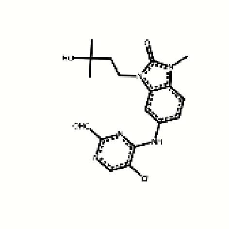 Cn1c(=O)n(CCC(C)(C)O)c2cc(Nc3nc(C=O)ncc3Cl)ccc21